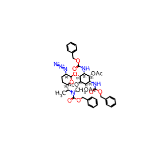 CC(=O)O[C@@H]1[C@@H](NC(=O)OCc2ccccc2)[C@H](OC(C)=O)[C@@H](OC(C)=O)[C@H](OC2O[C@H](C(C)N(C)C(=O)OCc3ccccc3)CC[C@H]2N=[N+]=[N-])[C@H]1NC(=O)OCc1ccccc1